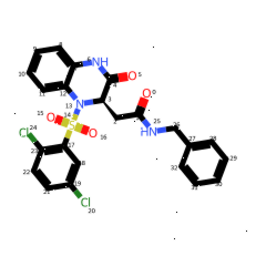 O=C(C[C@@H]1C(=O)Nc2ccccc2N1S(=O)(=O)c1cc(Cl)ccc1Cl)NCc1ccccc1